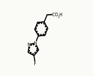 O=C(O)Cc1ccc(-n2cc(F)cn2)cc1